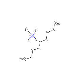 CCCCCCCCCCCCCCCCCC(=O)[O-].CC[N+](C)(C)C